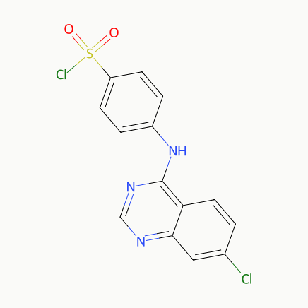 O=S(=O)(Cl)c1ccc(Nc2ncnc3cc(Cl)ccc23)cc1